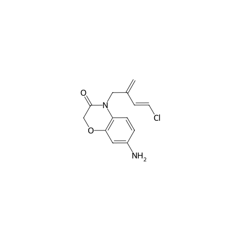 C=C(/C=C/Cl)CN1C(=O)COc2cc(N)ccc21